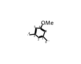 [CH2]c1cc([CH2])cc(OC)c1